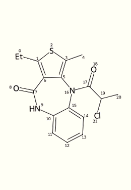 CCc1sc(C)c2c1C(=O)Nc1ccccc1N2C(=O)C(C)Cl